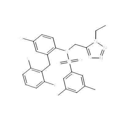 CCn1nnnc1CN(c1ccc(Cl)cc1Cc1c(F)cccc1F)S(=O)(=O)c1cc(C)cc(C)c1